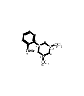 COc1ccccc1N1CN(C(Cl)(Cl)Cl)CN(C(Cl)(Cl)Cl)C1